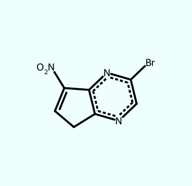 O=[N+]([O-])C1=CCc2ncc(Br)nc21